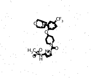 CS(=O)(=O)Nc1ccn(C(=O)N2CCC(Oc3ccc(C(F)(F)F)cc3N3C4CCC3COC4)CC2)n1